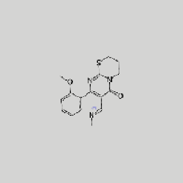 C/N=C/c1c(-c2ccccc2OC)nc2n(c1=O)CCCS2